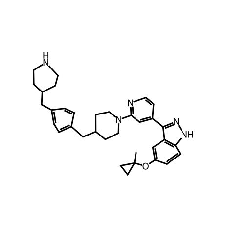 CC1(Oc2ccc3[nH]nc(-c4ccnc(N5CCC(Cc6ccc(CC7CCNCC7)cc6)CC5)c4)c3c2)CC1